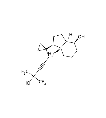 C[C@]12CCC[C@H](O)[C@@H]1CC[C@@H]2C1(CC#CC(O)(C(F)(F)F)C(F)(F)F)CC1